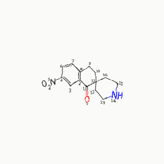 O=C1c2cc([N+](=O)[O-])ccc2CCC12CCNCC2